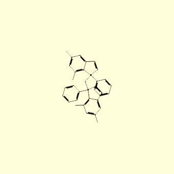 Cc1cc(C)c2c(c1)C=CC2(CC1(c2ccccc2)C=Cc2cc(C)cc(C)c21)c1ccccc1